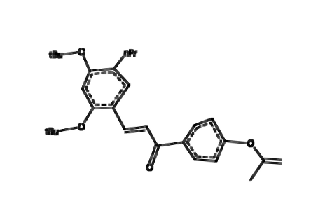 C=C(C)Oc1ccc(C(=O)C=Cc2cc(CCC)c(OC(C)(C)C)cc2OC(C)(C)C)cc1